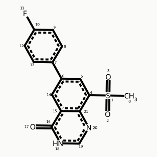 CS(=O)(=O)c1cc(-c2ccc(F)cc2)cc2c(=O)[nH]cnc12